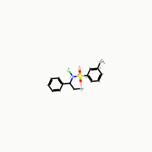 CC(=O)CC(c1ccccc1)N(Cl)S(=O)(=O)c1cccc(C)c1